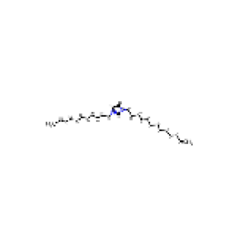 CCCCCCCCCCCCCn1cc[n+](CCCCCCCCCCC)c1